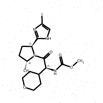 COC(=O)N[C@H](C(=O)N1[C@H](C)CC[C@H]1c1nc(I)c[nH]1)C1CCOCC1